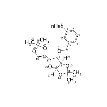 CCCCCCc1cccc(CO[C@@H]2[C@H]3OC(C)(C)O[C@H]3O[C@@H]2[C@H]2COC(C)(C)O2)c1